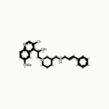 COc1ccc2ncc(Cl)c(C(O)CN3CCCC(CNC/C=C/c4ccccc4)C3)c2c1